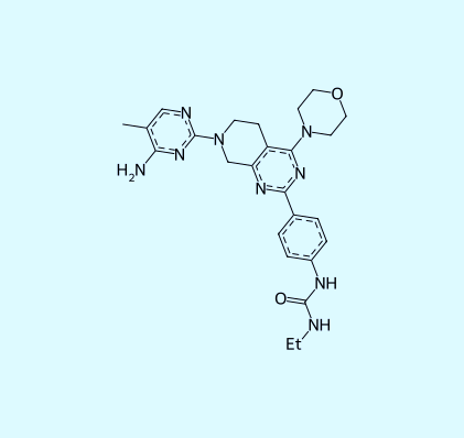 CCNC(=O)Nc1ccc(-c2nc3c(c(N4CCOCC4)n2)CCN(c2ncc(C)c(N)n2)C3)cc1